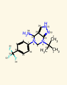 CC(C)(C)N1CN(c2ccc(C(F)(F)F)cc2)C(N)c2c[nH]nc21